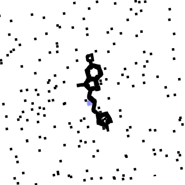 Cc1c(/C=C/Cn2ccnc2)sc2ccc(Cl)cc12